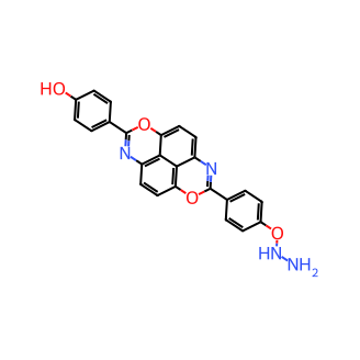 NNOc1ccc(C2=Nc3ccc4c5c(ccc(c35)O2)N=C(c2ccc(O)cc2)O4)cc1